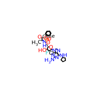 COC(=O)[C@H](C)N[P@@](=O)(OC[C@H]1OC(N2C=NC3C(NC4CCCC4)=NC(N)=NC32)[C@](C)(F)[C@@H]1O)Oc1ccccc1